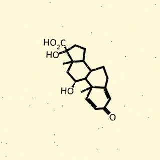 CC12C=CC(=O)C=C1CCC1C2[C@@H](O)CC2(C)C1CC[C@]2(O)C(=O)O